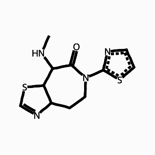 CNC1C(=O)N(c2nccs2)CCC2N=CSC21